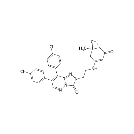 CC1(C)CC(=O)C=C(NCCn2nc3c(-c4ccc(Cl)cc4)c(-c4ccc(Cl)cc4)cnn3c2=O)C1